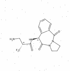 NC[C@H](C(=O)N[C@@H]1C(=O)N2CCCN2C(=O)c2ccccc21)C(F)(F)F